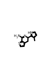 Cc1cc[nH]c1C1Cc2ccsc2C(N)=N1